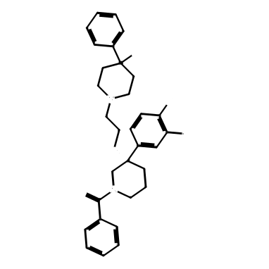 O=C(c1ccccc1)N1CCC[C@](CCCN2CCC(O)(c3ccccc3)CC2)(c2ccc(Cl)c(Cl)c2)C1